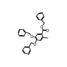 Cc1cc(OCc2ccccc2)c(OCc2ccccc2)cc1C(=O)OCc1ccccc1